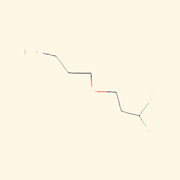 CCCCOCCC(F)F